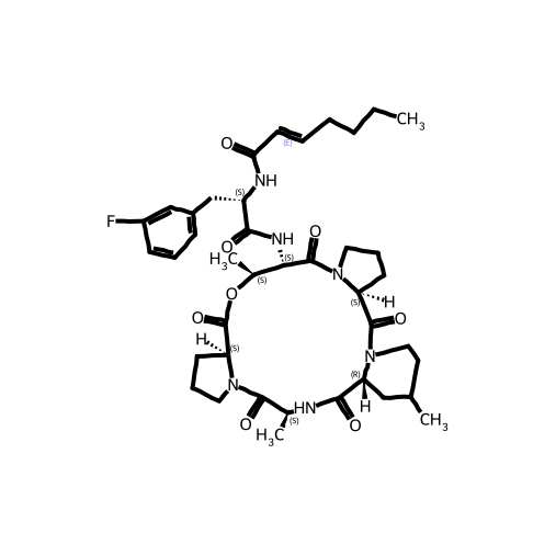 CCCC/C=C/C(=O)N[C@@H](Cc1cccc(F)c1)C(=O)N[C@@H]1C(=O)N2CCC[C@H]2C(=O)N2CCC(C)C[C@@H]2C(=O)N[C@@H](C)C(=O)N2CCC[C@H]2C(=O)O[C@H]1C